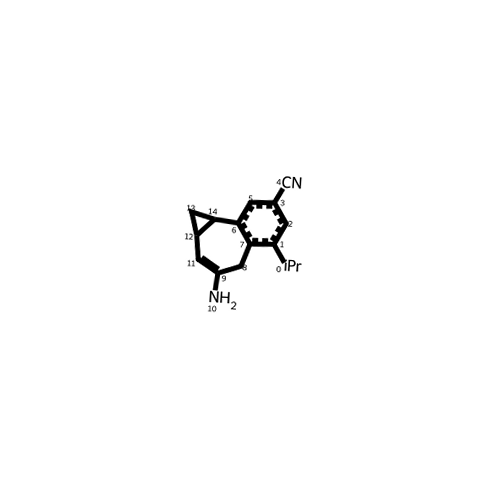 CC(C)c1cc(C#N)cc2c1CC(N)=CC1CC21